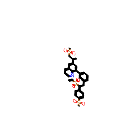 CCS(=O)(=O)C(Cc1cccc(-c2cc(C(C)CS(C)(=O)=O)cc3cccnc23)c1)c1ccc(S(C)(=O)=O)cc1